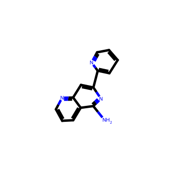 Nc1nc(-c2ccccn2)cc2ncccc12